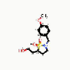 COc1ccc(CN2CCC(CCO)S2(=O)=O)cc1